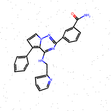 NC(=O)c1cccc(-c2nc(NCc3ccccn3)c3c(-c4ccccc4)ccn3n2)c1